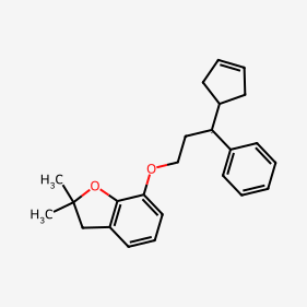 CC1(C)Cc2cccc(OCC[C](c3ccccc3)C3CC=CC3)c2O1